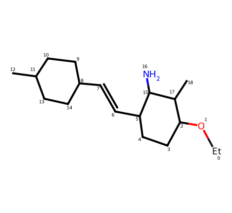 CCOC1CCC(C=CC2CCC(C)CC2)C(N)C1C